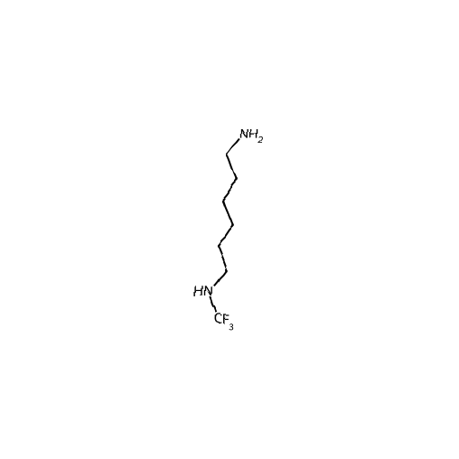 NCCCCCCNC(F)(F)F